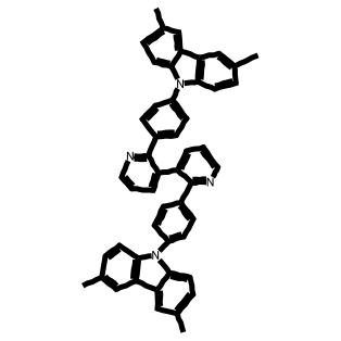 Cc1ccc2c(c1)c1cc(C)ccc1n2-c1ccc(-c2ncccc2-c2cccnc2-c2ccc(-n3c4ccc(C)cc4c4cc(C)ccc43)cc2)cc1